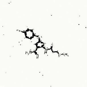 COCCC(=O)Nc1sc(Sc2ccc(F)cc2)cc1C(N)=O